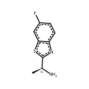 C[C@H](N)c1nc2ccc(F)cc2s1